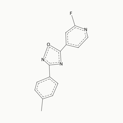 Cc1ccc(-c2noc(-c3ccnc(F)c3)n2)cc1